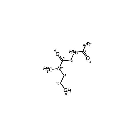 CC(C)C(=O)NCC(=O)N(C)CCO